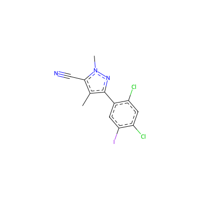 Cc1c(-c2cc(I)c(Cl)cc2Cl)nn(C)c1C#N